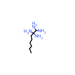 CCCCCCC(N)(N)C(N)N